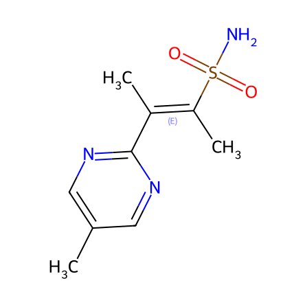 C/C(=C(/C)S(N)(=O)=O)c1ncc(C)cn1